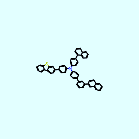 c1cc(-c2ccc(N(c3ccc(-c4ccc5c(c4)sc4ccccc45)cc3)c3ccc(-c4cccc5ccccc45)cc3)cc2)cc(-c2ccc3ccccc3c2)c1